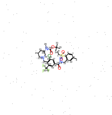 CCS(=O)(=O)c1ccc(C)cc1CNC(=O)c1cc(Cl)c(CN2CCC[C@H](N(C)C(=O)OC(C)(C)C)C2)c(C(F)(F)F)c1